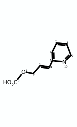 O=C(O)OCC=Cc1ccccn1